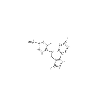 CCOC(=O)c1cc(C)c(OCc2c(-c3ccc(C)nc3)noc2C)nn1